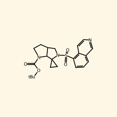 CC(C)(C)OC(=O)N1CCC2CN(S(=O)(=O)c3cccc4cnccc34)C3(CC3)C21